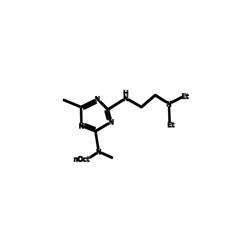 CCCCCCCCN(C)c1nc(C)nc(NCCN(CC)CC)n1